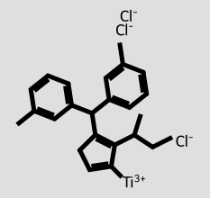 CCC(C)C1=C(C(c2cccc(C)c2)c2cccc(C)c2)CC=[C]1[Ti+3].[Cl-].[Cl-].[Cl-]